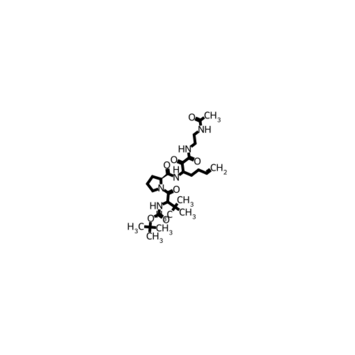 C=CCCC(NC(=O)[C@@H]1CCCN1C(=O)C(NC(=O)OC(C)(C)C)C(C)(C)C)C(=O)C(=O)NCCNC(C)=O